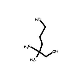 CC(N)(CO)CCCO